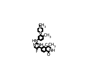 Cc1ccc(Nc2ncc(F)c(-c3ccc4c(c3)C(C)(C)CNC4=O)n2)cc1N1CCN(C)CC1